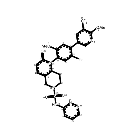 COc1cc(-c2cnc(OC)c(C(F)(F)F)c2)c(F)cc1-n1c2c(ccc1=O)CN(S(=O)(=O)Nc1cccnn1)CC2